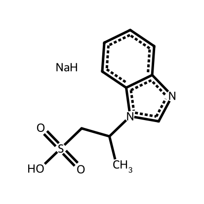 CC(CS(=O)(=O)O)n1cnc2ccccc21.[NaH]